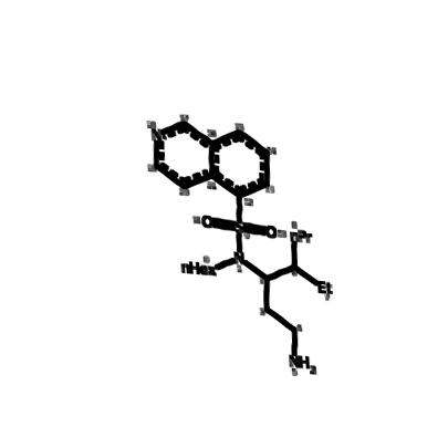 CCCCCCN(C(CCN)C(CC)CCC)S(=O)(=O)c1cccc2cnccc12